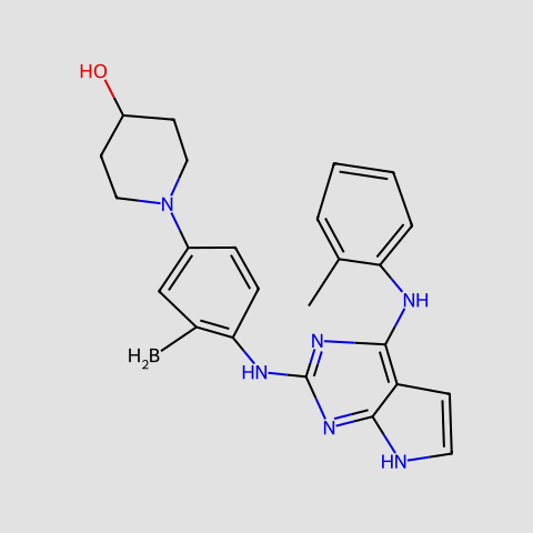 Bc1cc(N2CCC(O)CC2)ccc1Nc1nc(Nc2ccccc2C)c2cc[nH]c2n1